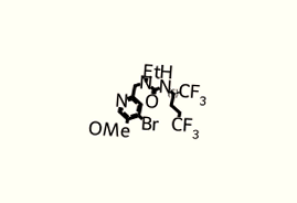 CCN(Cc1cc(Br)c(OC)cn1)C(=O)N[C@@H](CCC(F)(F)F)C(F)(F)F